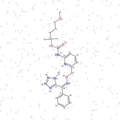 COCCCC(C)(C)OC(=O)Nc1cccc(CO/N=C(/c2ccccc2)c2nnnn2C)n1